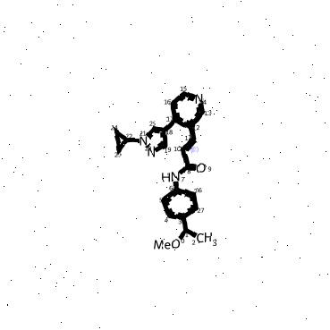 COC(C)c1ccc(NC(=O)/C=C/c2cnccc2-c2cnn(C3CC3)c2)cc1